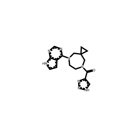 O=C(c1c[nH]nn1)N1CCN(c2ncnc3[nH]ccc23)CC2(CC2)C1